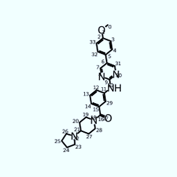 COc1ccc(-c2cnc(Nc3cccc(C(=O)N4CCC(N5CCCC5)CC4)c3)nc2)cc1